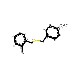 CC(=O)Oc1ccc(CSCc2ccccc2C)cc1